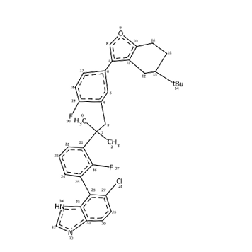 CC(C)(Cc1cc(-c2coc3c2CC(C(C)(C)C)CC3)ccc1F)c1cccc(-c2c(Cl)ccc3nc[nH]c23)c1F